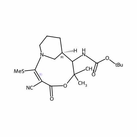 CS/C1=C(\C#N)C(=O)OC(C)(C)C(NC(=O)OC(C)(C)C)[C@@H]2CCCN1C2